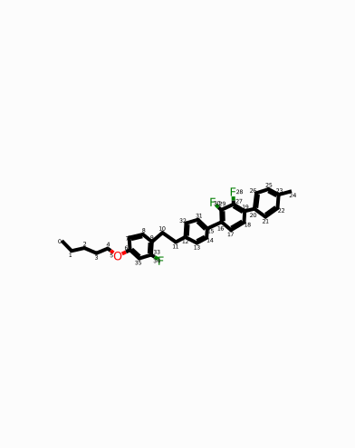 CCCCCOc1ccc(CCc2ccc(-c3ccc(-c4ccc(C)cc4)c(F)c3F)cc2)c(F)c1